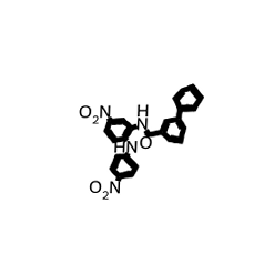 O=C(Nc1cc([N+](=O)[O-])ccc1Nc1ccc([N+](=O)[O-])cc1)c1cccc(-c2ccccc2)c1